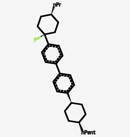 CCCCC[C@H]1CC[C@H](c2ccc(-c3ccc([C@]4(F)CC[C@@H](CCC)CC4)cc3)cc2)CC1